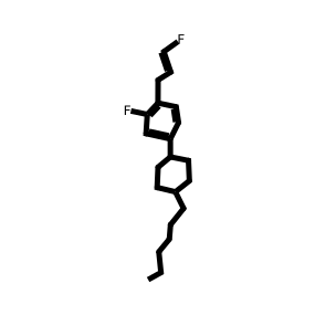 CCCCCCC1CCC(c2ccc(C/C=C/F)c(F)c2)CC1